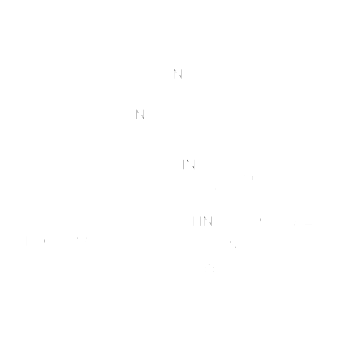 COc1ccc(-n2ccnc2[C@H](Cc2ccccc2)NC(=O)NS(=O)(=O)c2ccccc2C)cc1